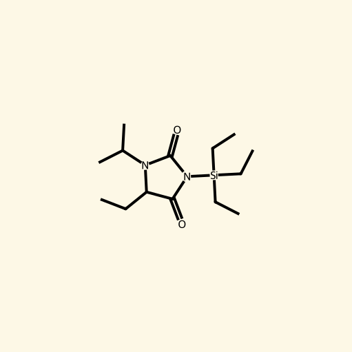 CCC1C(=O)N([Si](CC)(CC)CC)C(=O)N1C(C)C